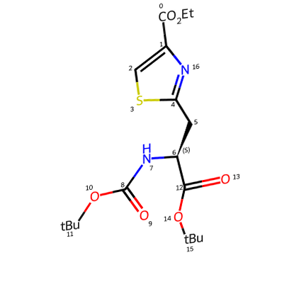 CCOC(=O)c1csc(C[C@H](NC(=O)OC(C)(C)C)C(=O)OC(C)(C)C)n1